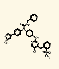 Cn1cc(-c2ccc(N(C(=O)NCc3ccccc3)[C@H]3CC[C@H](Nc4ncc(Cl)c(Cc5ccccc5S(C)(=O)=O)n4)CC3)cc2)cn1